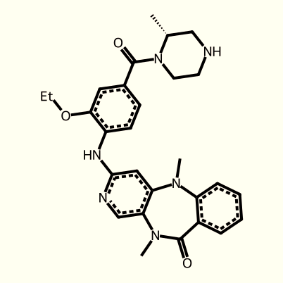 CCOc1cc(C(=O)N2CCNC[C@H]2C)ccc1Nc1cc2c(cn1)N(C)C(=O)c1ccccc1N2C